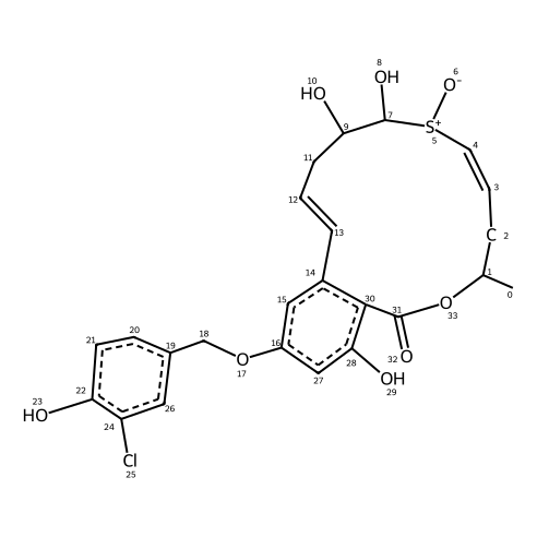 CC1C/C=C\[S+]([O-])C(O)C(O)C/C=C/c2cc(OCc3ccc(O)c(Cl)c3)cc(O)c2C(=O)O1